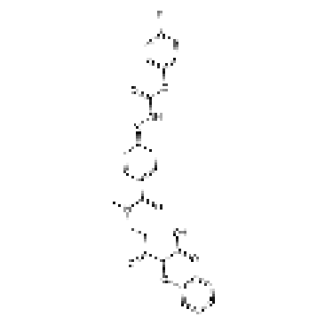 CN(CCC(=O)C(Oc1ccccc1)C(=O)O)C(=O)C1=CCC(=NNC(=O)Oc2ccc(F)cc2)C=C1